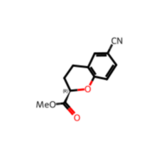 COC(=O)[C@H]1CCc2cc(C#N)ccc2O1